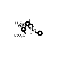 CCOC(=O)Cc1ccc(S(C)(=O)=O)c(-c2ccc(F)c3c2CN(C(=O)OCc2ccccc2)CC3)c1